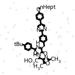 CCCCCCCOc1ccc(-c2cnc(-c3ccc(C[C@H](NC(=O)c4ccc(C(C)(C)C)cc4)C(=O)NC(C(=O)O)c4nc(C)oc4C)cc3)nc2)cc1